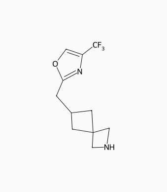 FC(F)(F)c1coc(CC2CC3(CNC3)C2)n1